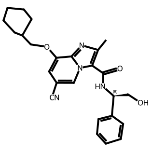 Cc1nc2c(OCC3CCCCC3)cc(C#N)cn2c1C(=O)N[C@@H](CO)c1ccccc1